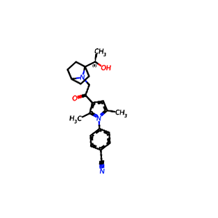 Cc1cc(C(=O)CN2C3CCC2([C@@H](C)O)CC3)c(C)n1-c1ccc(C#N)cc1